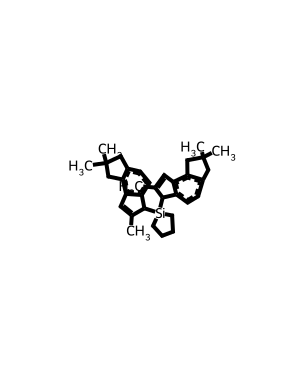 CC1=Cc2c(ccc3c2CC(C)(C)C3)C1[Si]1(C2C(C)=Cc3c2ccc2c3CC(C)(C)C2)CCCC1